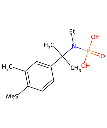 CCN(C(C)(C)c1ccc(SC)c(C)c1)P(=O)(O)O